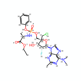 CCOC(=O)[C@@H](C)N[P@@](=O)(OC[C@@]1(CCl)O[C@@H](n2cnc3c(N(C)C)nc(C)nc32)[C@H](F)[C@@H]1O)Oc1ccccc1